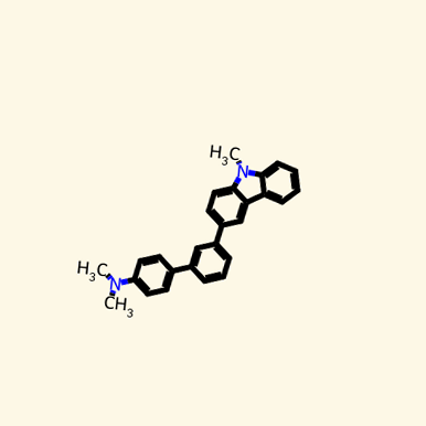 CN(C)c1ccc(-c2cccc(-c3ccc4c(c3)c3ccccc3n4C)c2)cc1